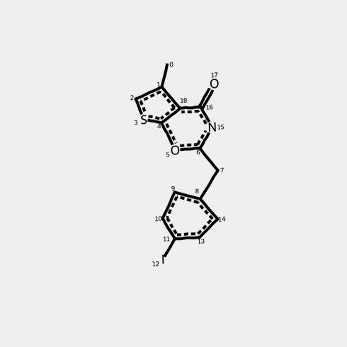 Cc1csc2oc(Cc3ccc(I)cc3)nc(=O)c12